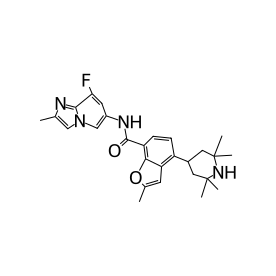 Cc1cn2cc(NC(=O)c3ccc(C4CC(C)(C)NC(C)(C)C4)c4cc(C)oc34)cc(F)c2n1